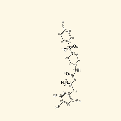 N[C@@H](CC(=O)NC1CCN(S(=O)(=O)c2ccc(F)cc2)CC1)Cc1cc(F)c(F)cc1F